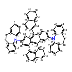 c1ccc2c(c1)CCc1ccccc1N2c1ccc2c(-c3cccc4ccccc34)c3cc(N4c5ccccc5CCc5ccccc54)ccc3c(-c3ccc4ccccc4c3)c2c1